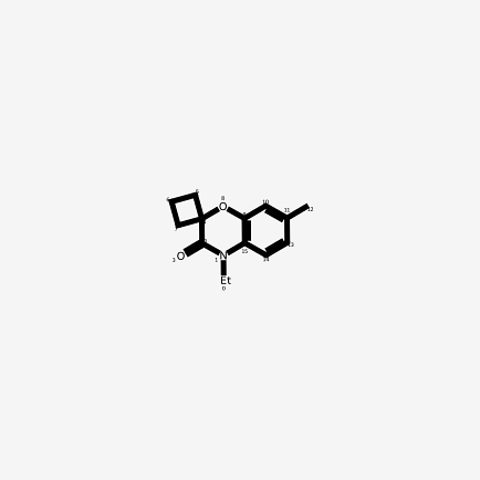 CCN1C(=O)C2(CCC2)Oc2cc(C)ccc21